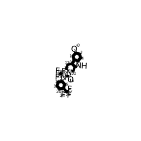 COc1ccc2[nH]c3c(c2c1)CCN(C(=O)N(c1cccc(C(F)(F)F)c1)C(F)(F)F)C3